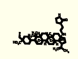 C=C(C)C1CC[C@]2(NCCN3CCNC3=O)CC[C@]3(C)[C@H](CC[C@@H]4[C@@]5(C)CC=C(C6=CC[C@](CF)(C(=O)O)CC6)C(C)(C)[C@@H]5CC[C@]43C)[C@@H]12